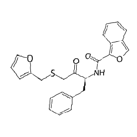 O=C(N[C@@H](Cc1ccccc1)C(=O)CSCc1ccco1)c1occ2ccccc12